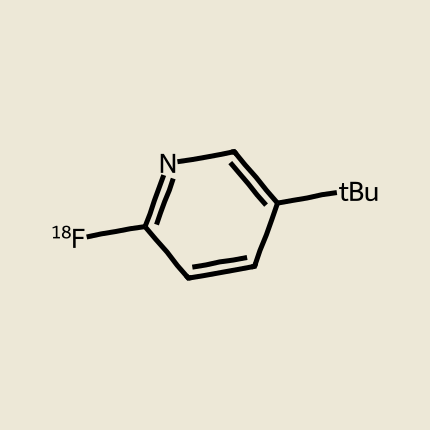 CC(C)(C)c1ccc([18F])nc1